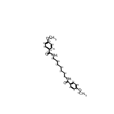 COc1ccc(C(=O)NCCCCCCCNC(=O)c2ccc(OC)cc2)cc1